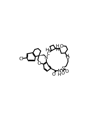 O=C1NS(=O)(=O)CCO[C@@H]2CCO[C@@H](C2)[C@@H]2CC[C@H]2CN2C[C@@]3(CCCc4cc(Cl)ccc43)COc3ccc1cc32